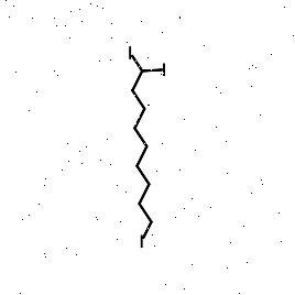 ICCCCCCCCC(I)I